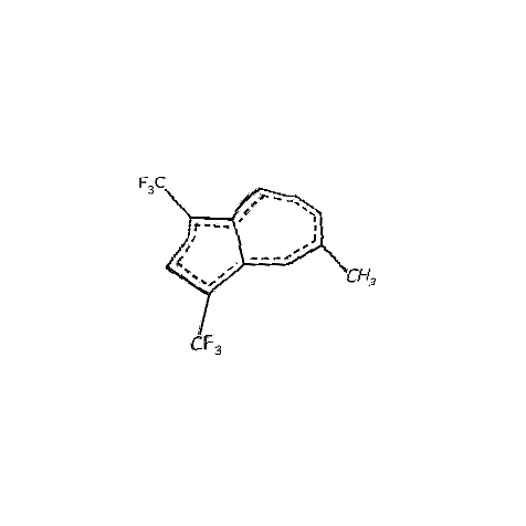 Cc1cccc2c(C(F)(F)F)cc(C(F)(F)F)c-2c1